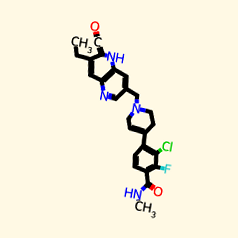 CCC1=Cc2ncc(CN3CC=C(c4ccc(C(=O)NC)c(F)c4Cl)CC3)cc2NC1=C=O